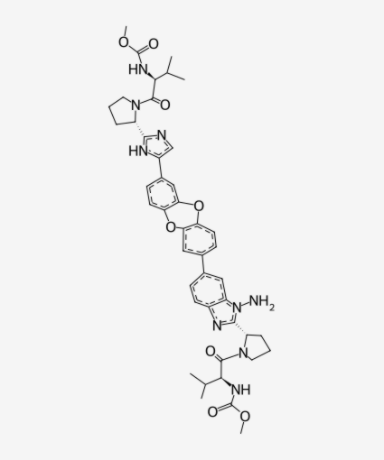 COC(=O)N[C@H](C(=O)N1CCC[C@H]1c1ncc(-c2ccc3c(c2)Oc2ccc(-c4ccc5nc([C@@H]6CCCN6C(=O)[C@@H](NC(=O)OC)C(C)C)n(N)c5c4)cc2O3)[nH]1)C(C)C